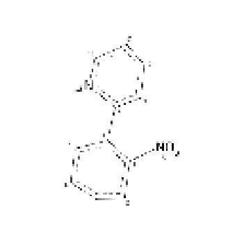 O=[N+]([O-])c1ccc[c]c1-c1ccccn1